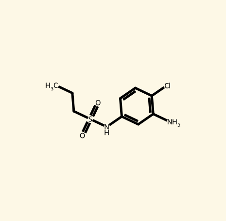 CCCS(=O)(=O)Nc1ccc(Cl)c(N)c1